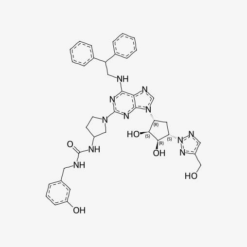 O=C(NCc1cccc(O)c1)NC1CCN(c2nc(NCC(c3ccccc3)c3ccccc3)c3ncn([C@@H]4C[C@H](n5ncc(CO)n5)[C@@H](O)[C@H]4O)c3n2)C1